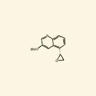 COc1cnc2cccc([C@@H]3CO3)c2c1